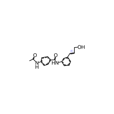 CC(=O)Nc1ccc(C(=O)Nc2cccc(/C=C/CO)c2)cc1